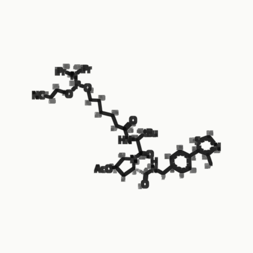 CC(=O)O[C@@H]1C[C@@H](C(=O)NCc2ccc(-c3scnc3C)cc2)N(C(=O)C(NC(=O)CCCCCOP(OCCC#N)N(C(C)C)C(C)C)C(C)(C)C)C1